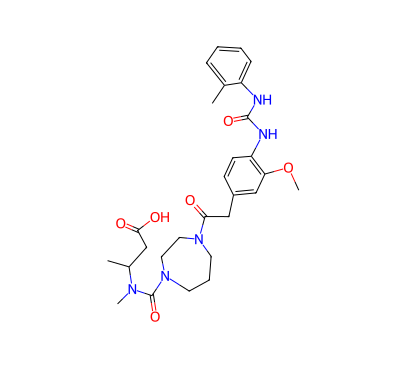 COc1cc(CC(=O)N2CCCN(C(=O)N(C)C(C)CC(=O)O)CC2)ccc1NC(=O)Nc1ccccc1C